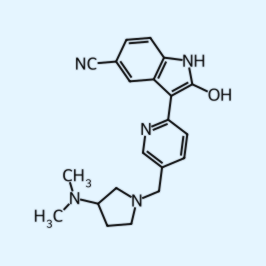 CN(C)C1CCN(Cc2ccc(-c3c(O)[nH]c4ccc(C#N)cc34)nc2)C1